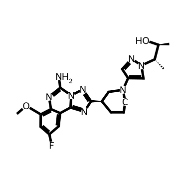 COc1cc(F)cc2c1nc(N)n1nc([C@@H]3CCCN(c4cnn([C@@H](C)[C@H](C)O)c4)C3)nc21